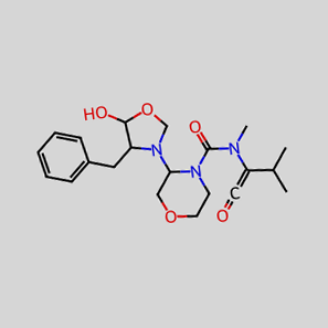 CC(C)C(=C=O)N(C)C(=O)N1CCOCC1N1COC(O)C1Cc1ccccc1